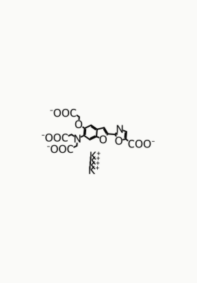 O=C([O-])COc1cc2cc(-c3ncc(C(=O)[O-])o3)oc2cc1N(CC(=O)[O-])CC(=O)[O-].[K+].[K+].[K+].[K+]